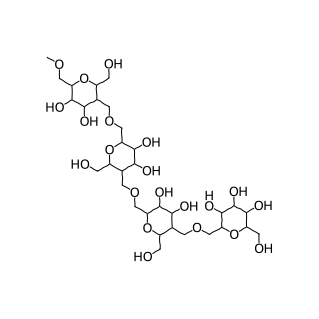 COCC1OC(CO)C(COCC2OC(CO)C(COCC3OC(CO)C(COCC4OC(CO)C(O)C(O)C4O)C(O)C3O)C(O)C2O)C(O)C1O